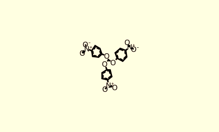 O=[N+]([O-])c1ccc(OC(Oc2ccc([N+](=O)[O-])cc2)Oc2ccc([N+](=O)[O-])cc2)cc1